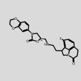 O=C1O[C@H](CNCCC2CN3C(=O)CCc4ccc(F)c2c43)CN1c1ccc2c(c1)OCCO2